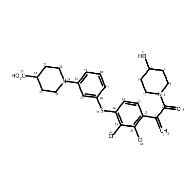 C=C(C(=O)N1CCC(O)CC1)c1ccc(Sc2cccc(N3CCC(C(=O)O)CC3)c2)c(Cl)c1Cl